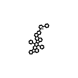 c1ccc(-c2cccc(-c3ccc4c(ccc5cc6c7c(-c8ccccc8)c8cc9c%10ccccc%10c%10cccc(c8c(-c8ccccc8)c7c7cccc(c54)c67)c%109)c3)n2)cc1